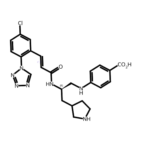 O=C(/C=C/c1cc(Cl)ccc1-n1cnnn1)N[C@@H](CNc1ccc(C(=O)O)cc1)CC1CCNC1